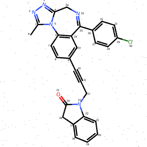 Cc1nnc2n1-c1ccc(C#CCN3C(=O)Cc4ccccc43)cc1C(c1ccc(Cl)cc1)=NC2